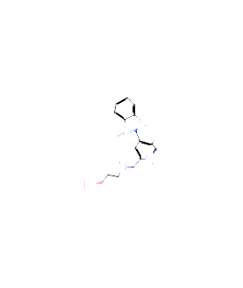 Cn1c(-c2cc(CNCCCO)ncc2Cl)nc2ccccc21